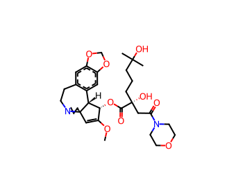 COC1=C[C@]23CCCN2CCc2cc4c(cc2[C@@H]3[C@@H]1OC(=O)[C@@](O)(CCCC(C)(C)O)CC(=O)N1CCOCC1)OCO4